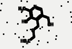 Cc1ncc(CO)c(COCC(=O)O)c1O